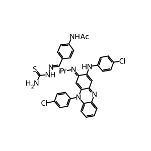 CC(=O)Nc1ccc(/C=N/NC(N)=S)cc1.CC(C)/N=c1\cc2n(-c3ccc(Cl)cc3)c3ccccc3nc-2cc1Nc1ccc(Cl)cc1